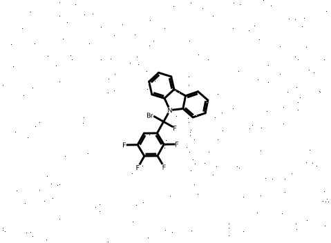 Fc1cc(C(F)(Br)n2c3ccccc3c3ccccc32)c(F)c(F)c1F